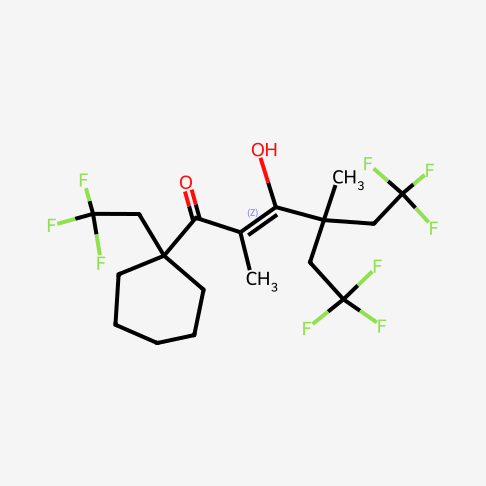 C/C(C(=O)C1(CC(F)(F)F)CCCCC1)=C(/O)C(C)(CC(F)(F)F)CC(F)(F)F